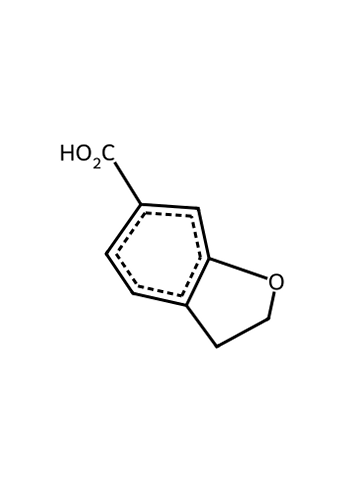 O=C(O)c1ccc2c(c1)OCC2